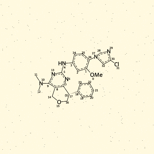 COc1cc(Nc2nc3c(c(N(C)C)n2)COC[C@H]3c2ccccc2)ccc1-n1cnc(Cl)c1